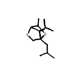 CC(C)CC12CSC(C(C)O1)C2C(C)C